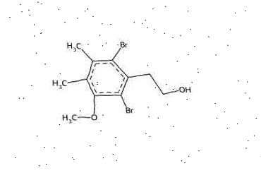 COc1c(C)c(C)c(Br)c(CCO)c1Br